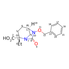 CC[C@@]1(C(=O)O)CC[C@@H]2CN1C(=O)N2OCc1ccccc1